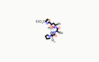 CCOC(=O)c1csc(C(O)CC(C(C)C)N(C)C(=O)C(NC(=O)C(C)(C)N2CCCC2)C(C)CC)n1